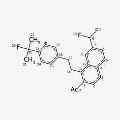 CC(=O)c1ccc2ccc(C(F)F)cc2c1CCc1ccc(C(C)(C)F)cc1